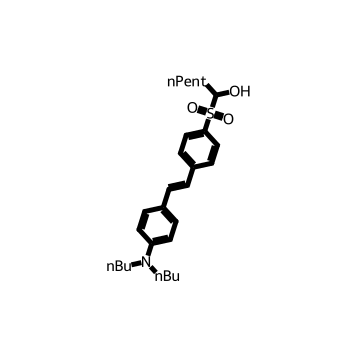 CCCCCC(O)S(=O)(=O)c1ccc(C=Cc2ccc(N(CCCC)CCCC)cc2)cc1